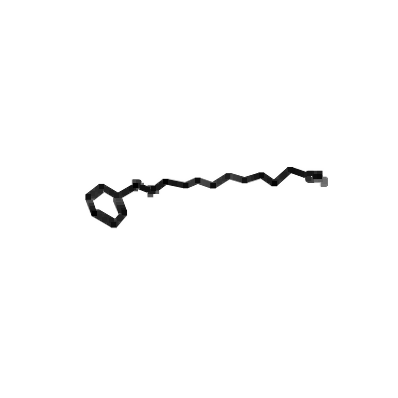 CCCCCCCCCC[P][P]c1ccccc1